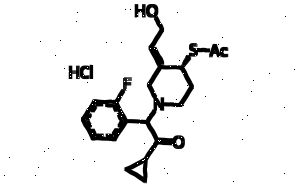 CC(=O)S[C@H]1CCN(C(C(=O)C2CC2)c2ccccc2F)CC1=CCO.Cl